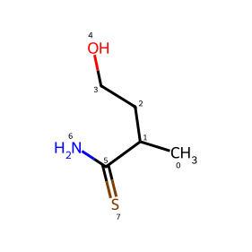 CC(CCO)C(N)=S